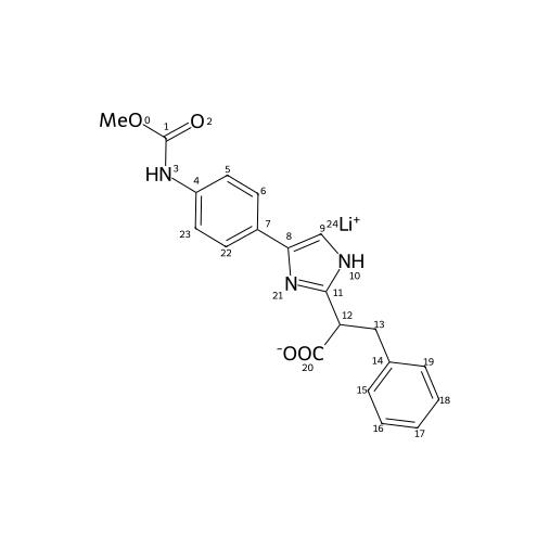 COC(=O)Nc1ccc(-c2c[nH]c(C(Cc3ccccc3)C(=O)[O-])n2)cc1.[Li+]